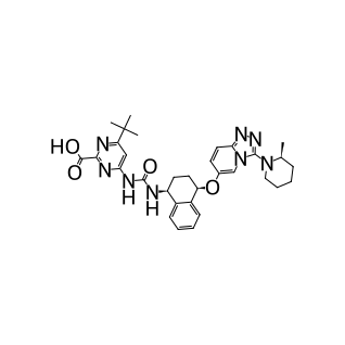 C[C@H]1CCCCN1c1nnc2ccc(O[C@@H]3CC[C@H](NC(=O)Nc4cc(C(C)(C)C)nc(C(=O)O)n4)c4ccccc43)cn12